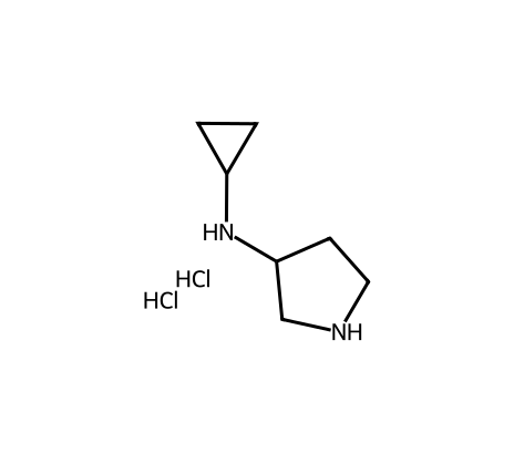 C1CC(NC2CC2)CN1.Cl.Cl